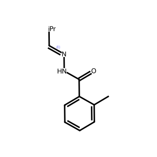 Cc1ccccc1C(=O)N/N=C/C(C)C